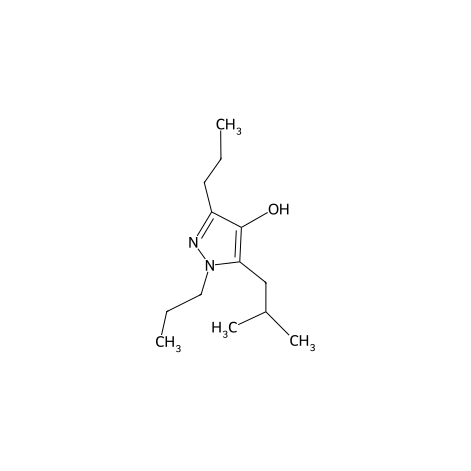 CCCc1nn(CCC)c(CC(C)C)c1O